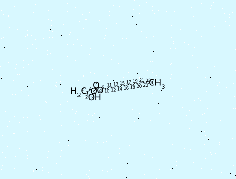 C=C(CO)COC(=O)OCCCCCCCCCCCCCCCC